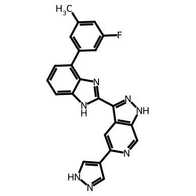 Cc1cc(F)cc(-c2cccc3[nH]c(-c4n[nH]c5cnc(-c6cn[nH]c6)cc45)nc23)c1